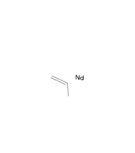 C=CC.[Nd]